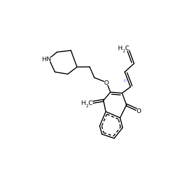 C=C/C=C/C1=C(OCCC2CCNCC2)C(=C)c2ccccc2C1=O